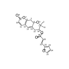 CC1(C)OC2Cc3oc(=O)ccc3C=C2C[C@@H]1OC(=O)/C=C/c1ccco1